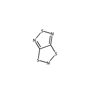 [N]1Sc2nsnc2S1